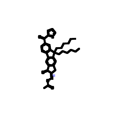 CCCCCCC1(CCCCCC)c2cc(C(=O)c3cccs3)ccc2-c2cc3c(cc21)C/C(=N/OC(C)=O)C3=O